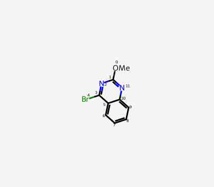 COc1nc(Br)c2ccccc2n1